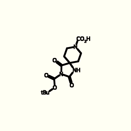 CC(C)(C)OC(=O)N1C(=O)NC2(CCN(C(=O)O)CC2)C1=O